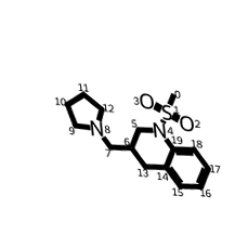 CS(=O)(=O)N1CC(CN2CCCC2)Cc2ccccc21